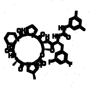 Cc1cc(C)cc(NC(=O)N[C@@H](Cc2cc(F)cc(F)c2)C(=O)N[C@@H]2C(=O)N3CCC[C@H]3C(=O)N3CCCC[C@H]3C(=O)N[C@@H](C)C(=O)N3C[C@H](C)C[C@H]3C(=O)O[C@H]2C)c1